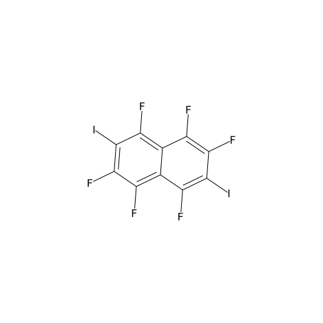 Fc1c(I)c(F)c2c(F)c(F)c(I)c(F)c2c1F